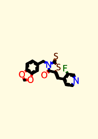 O=C1C(=Cc2ccncc2F)SC(=S)N1Cc1ccc2c(c1)OCO2